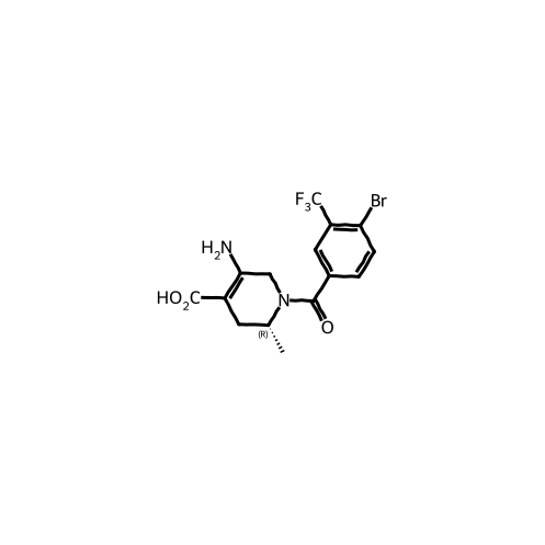 C[C@@H]1CC(C(=O)O)=C(N)CN1C(=O)c1ccc(Br)c(C(F)(F)F)c1